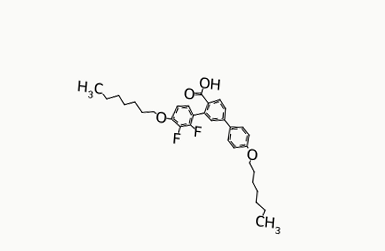 CCCCCCCOc1ccc(-c2ccc(C(=O)O)c(-c3ccc(OCCCCCCC)c(F)c3F)c2)cc1